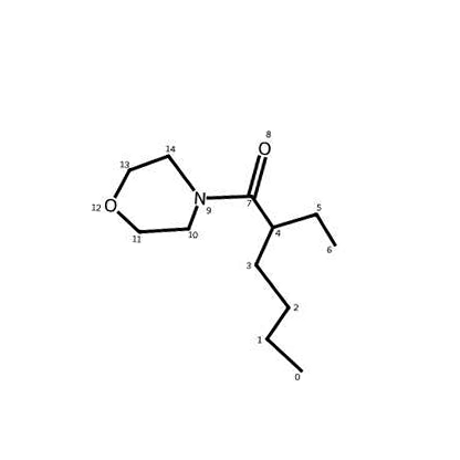 CCCCC(CC)C(=O)N1CCOCC1